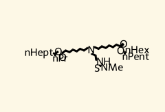 CCCCCCCC(CCC)OC(=O)CCCCCCCN(CCCCCCCC(=O)OC(CCCCC)CCCCCC)CCCNC(=S)NC